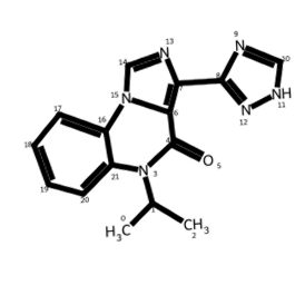 CC(C)n1c(=O)c2c(-c3nc[nH]n3)ncn2c2ccccc21